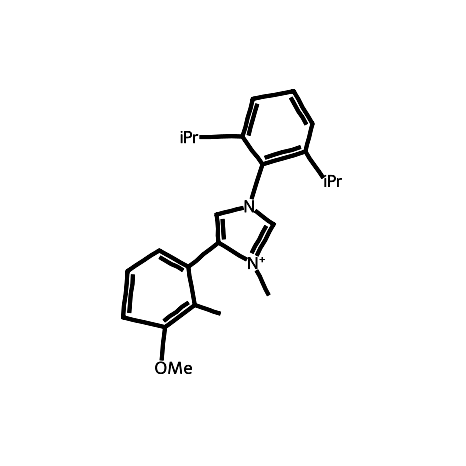 COc1cccc(-c2cn(-c3c(C(C)C)cccc3C(C)C)c[n+]2C)c1C